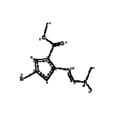 COC(=O)c1sc(Br)cc1/N=C/N(C)C